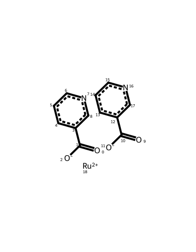 O=C([O-])c1cccnc1.O=C([O-])c1cccnc1.[Ru+2]